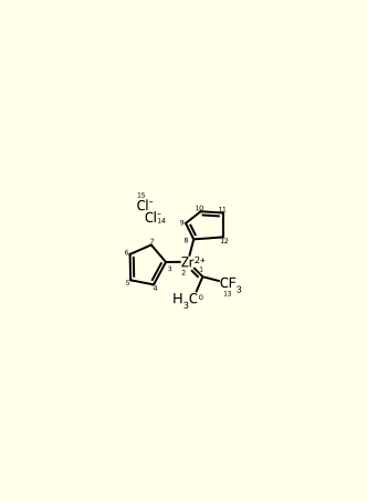 C[C](=[Zr+2]([C]1=CC=CC1)[C]1=CC=CC1)C(F)(F)F.[Cl-].[Cl-]